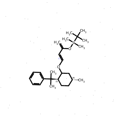 C=C(/C=C/OC1C[C@H](C)CC[C@H]1C(C)(C)c1ccccc1)O[Si](C)(C)C(C)(C)C